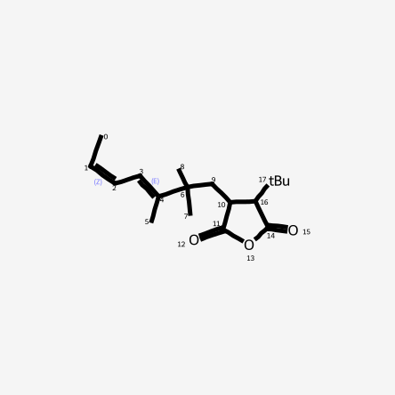 C/C=C\C=C(/C)C(C)(C)CC1C(=O)OC(=O)C1C(C)(C)C